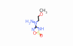 COCCN(N)C1=NOS(=O)N1